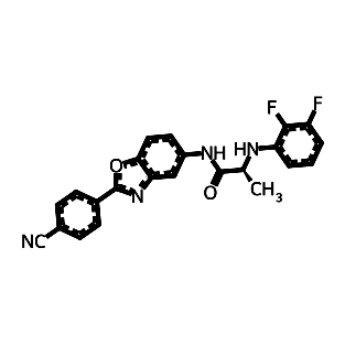 C[C@H](Nc1cccc(F)c1F)C(=O)Nc1ccc2oc(-c3ccc(C#N)cc3)nc2c1